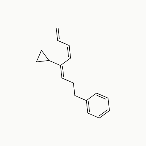 C=C/C=C\C(=C/CCc1ccccc1)C1CC1